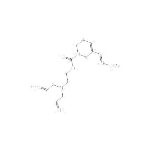 C=CCN(CC=C)CCOC(=O)N1CCC=C(C=NOC)C1